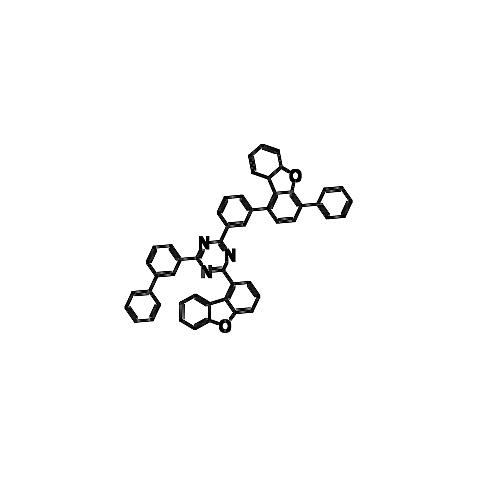 C1=CC2Oc3c(-c4ccccc4)ccc(-c4cccc(-c5nc(-c6cccc(-c7ccccc7)c6)nc(-c6cccc7oc8ccccc8c67)n5)c4)c3C2C=C1